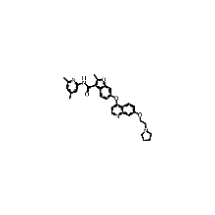 Cc1cc(C)nc(NC(=O)c2c(C)oc3cc(Oc4ccnc5cc(OCCN6CCCC6)ccc45)ccc23)c1